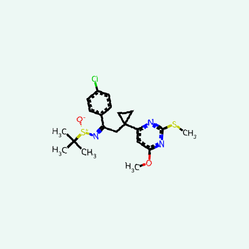 COc1cc(C2(C/C(=N/[S@@+]([O-])C(C)(C)C)c3ccc(Cl)cc3)CC2)nc(SC)n1